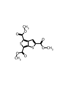 COC(=O)c1cc2c(C(=O)OC)sc(C(=O)OC)c2s1